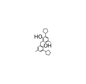 Cc1cc(Cc2cc(C)cc(C3CCCC3)c2O)c(O)c(C2CCCC2)c1